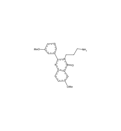 COc1cccc(-c2nc3ccc(OC)cc3c(=O)n2CCCN)c1